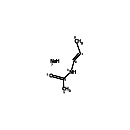 CC=CNC(C)=O.[NaH]